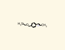 C/C=C/c1ccc(COC[SiH3])cc1